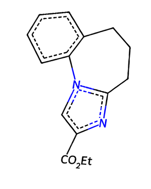 CCOC(=O)c1cn2c(n1)CCCc1ccccc1-2